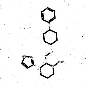 O=CN1CCC[C@H](c2cc[nH]n2)[C@@H]1CO[C@H]1CC[C@@H](c2ccccc2)CC1